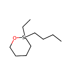 CCCC[Si]1(CC)CCCCO1